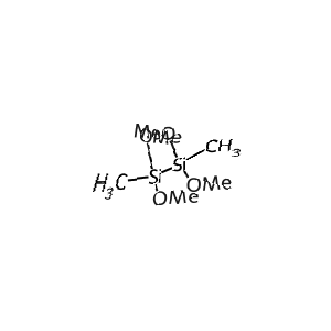 CO[Si](C)(OC)[Si](C)(OC)OC